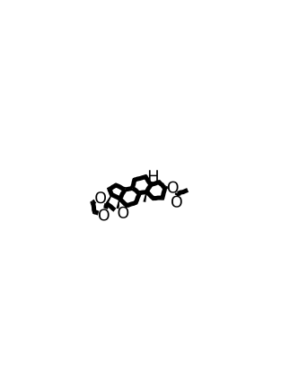 CC(=O)O[C@H]1CC[C@]2(C)C3CC(=O)[C@@]4(C)C(CC[C@@H]4C4(C)OCCO4)C3CC[C@@H]2C1